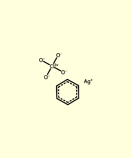 [Ag+].[O-][Cl+3]([O-])([O-])[O-].c1ccccc1